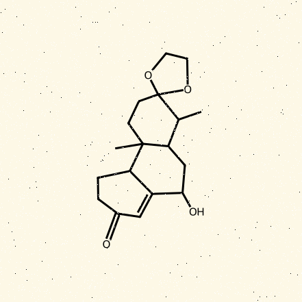 CC1C2CC(O)C3=CC(=O)CCC3C2(C)CCC12OCCO2